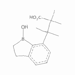 CC(C)(C(=O)O)C(C)(C)c1cccc2c1B(O)CC2